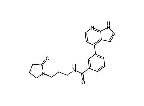 O=C(NCCCN1CCCC1=O)c1cccc(-c2ccnc3[nH]ccc23)c1